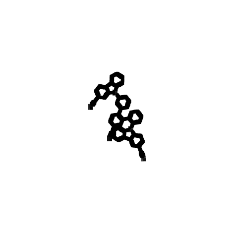 N#Cc1ccc(-c2cccc(-n3c4ccccc4c4ccc(C#N)cc43)c2)c(-c2ccccc2-n2c3ccccc3c3cc(C#N)ccc32)c1